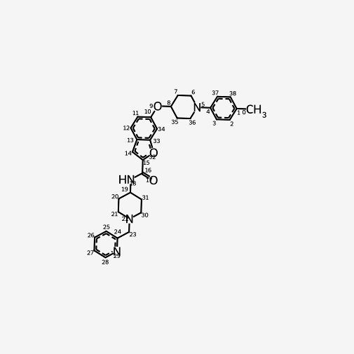 Cc1ccc(N2CCC(Oc3ccc4cc(C(=O)NC5CCN(Cc6ccccn6)CC5)oc4c3)CC2)cc1